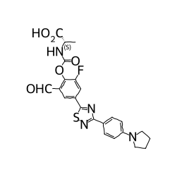 C[C@H](NC(=O)Oc1c(F)cc(-c2nc(-c3ccc(N4CCCC4)cc3)ns2)cc1C=O)C(=O)O